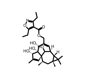 CCc1noc(CC)c1C(=O)OCC1=C[C@@H]2C(O)[C@]3(C=C(C)[C@H](O)[C@@]3(O)[C@@H]1O)[C@H](C)C[C@]1(C)[C@H]2C1(C)C